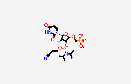 COP(=O)(CO[C@H]1O[C@@H](n2ccc(=O)[nH]c2=O)C(F)C1OP(OCCC#N)N(C(C)C)C(C)C)OC